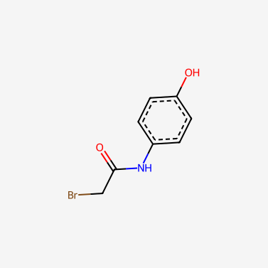 O=C(CBr)Nc1ccc(O)cc1